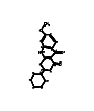 COc1ccc2c(=O)c3c([nH]c2c1)CC(C1CCCCC1)CC3=O